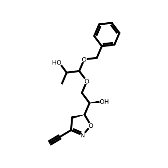 C#CC1=NO[C@H]([C@H](O)COC(OCc2ccccc2)C(C)O)C1